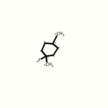 CC1CCC(C)(F)CC1